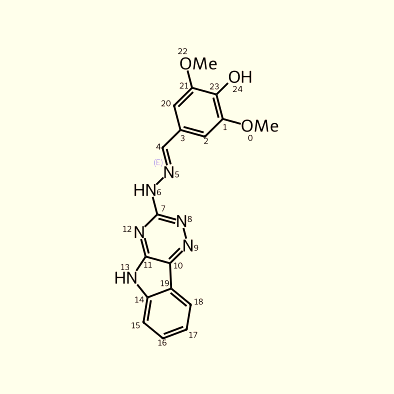 COc1cc(/C=N/Nc2nnc3c(n2)[nH]c2ccccc23)cc(OC)c1O